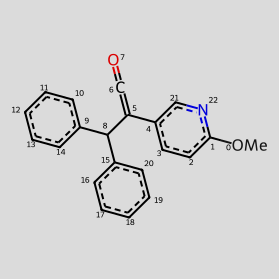 COc1ccc(C(=C=O)C(c2ccccc2)c2ccccc2)cn1